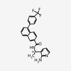 C[C@@H](NC(=O)c1ccc2c(-c3ccc(C(F)(F)F)cc3)cccc2c1)c1cccnc1N